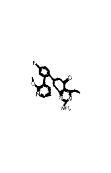 CCc1nc(N)nc2c1C(=O)CC(c1ccc(F)cc1-c1cccnc1OC)C2